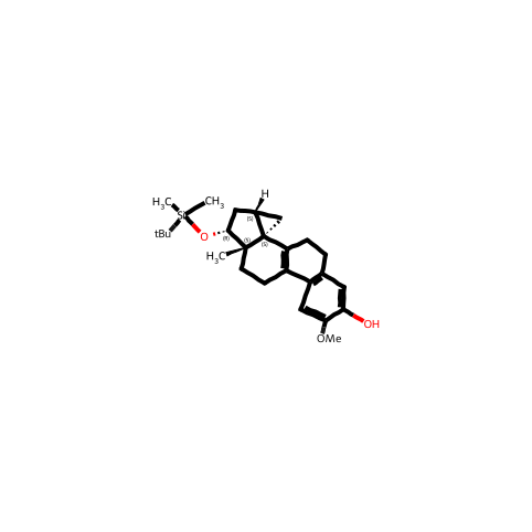 COc1cc2c(cc1O)CCC1=C2CC[C@]2(C)[C@H](O[Si](C)(C)C(C)(C)C)C[C@@H]3C[C@@]132